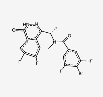 C[C@@H](c1n[nH]c(=O)c2cc(F)c(F)cc12)N(C)C(=O)c1cc(F)c(Br)c(F)c1